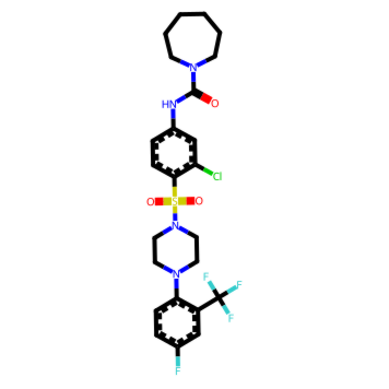 O=C(Nc1ccc(S(=O)(=O)N2CCN(c3ccc(F)cc3C(F)(F)F)CC2)c(Cl)c1)N1CCCCCC1